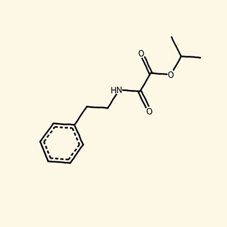 CC(C)OC(=O)C(=O)NCCc1ccccc1